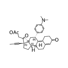 CC#C[C@]1(C(=O)COC(C)=O)CC[C@H]2[C@@H]3CCC4=CC(=O)CCC4=C3[C@@H](c3ccc(N(C)C)cc3)C[C@@]21C